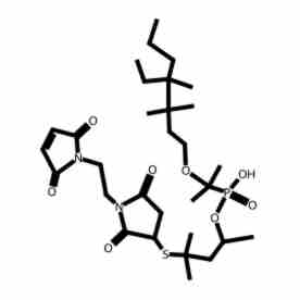 CCCC(C)(CC)C(C)(C)CCOC(C)(C)P(=O)(O)OC(C)CC(C)(C)SC1CC(=O)N(CCN2C(=O)C=CC2=O)C1=O